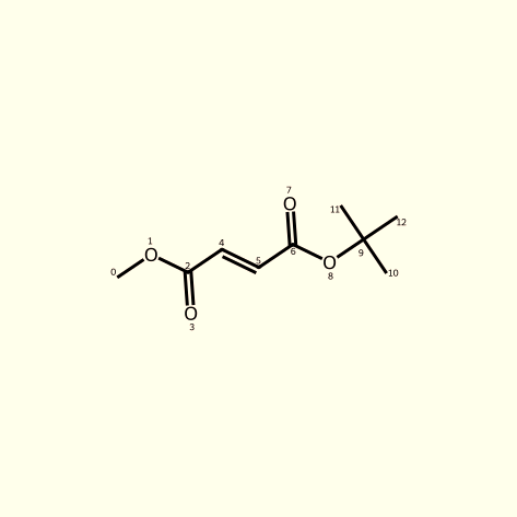 COC(=O)C=CC(=O)OC(C)(C)C